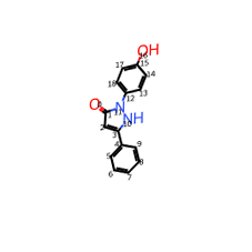 O=c1cc(-c2ccccc2)[nH]n1-c1ccc(O)cc1